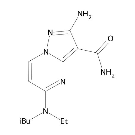 CCC(C)N(CC)c1ccn2nc(N)c(C(N)=O)c2n1